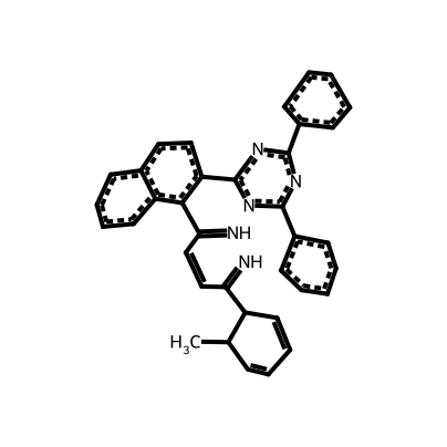 CC1C=CC=CC1C(=N)/C=C\C(=N)c1c(-c2nc(-c3ccccc3)nc(-c3ccccc3)n2)ccc2ccccc12